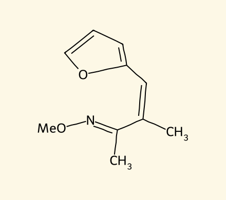 CON=C(C)C(C)=Cc1ccco1